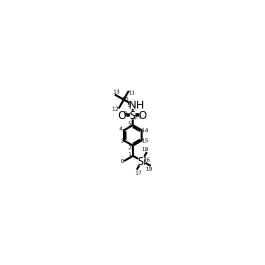 CC(c1ccc(S(=O)(=O)NC(C)(C)C)cc1)[Si](C)(C)C